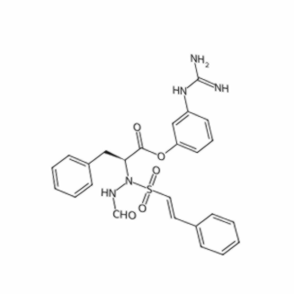 N=C(N)Nc1cccc(OC(=O)[C@H](Cc2ccccc2)N(NC=O)S(=O)(=O)C=Cc2ccccc2)c1